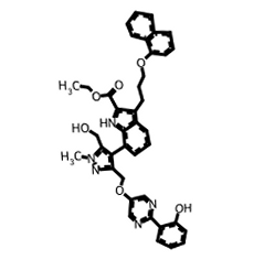 CCOC(=O)c1[nH]c2c(-c3c(COc4cnc(-c5ccccc5O)nc4)nn(C)c3CO)cccc2c1CCCOc1cccc2ccccc12